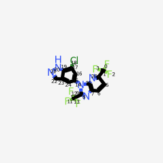 FC(F)(F)c1ccc2nc(C(F)(F)F)n(-c3cc(Cl)c4[nH]ncc4c3)c2n1